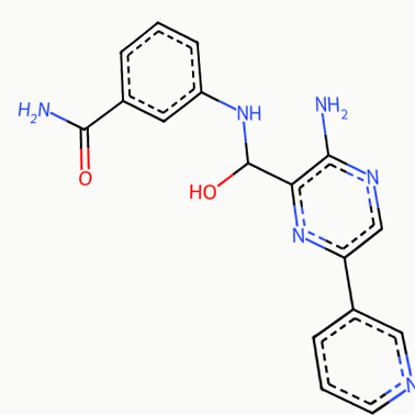 NC(=O)c1cccc(NC(O)c2nc(-c3cccnc3)cnc2N)c1